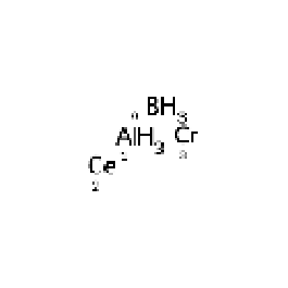 B.[AlH3].[Ce].[Cr]